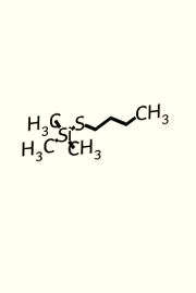 CCCCS[Si](C)(C)C